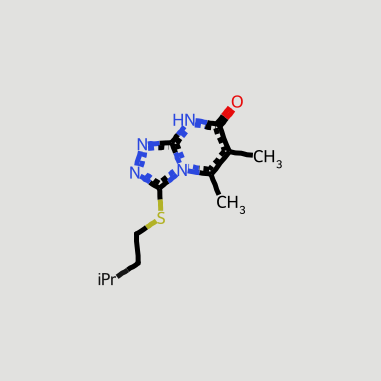 Cc1c(C)n2c(SCCC(C)C)nnc2[nH]c1=O